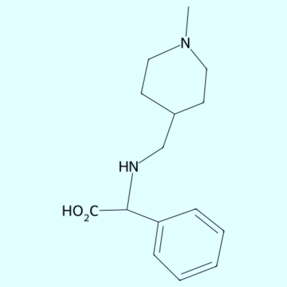 CN1CCC(CNC(C(=O)O)c2ccccc2)CC1